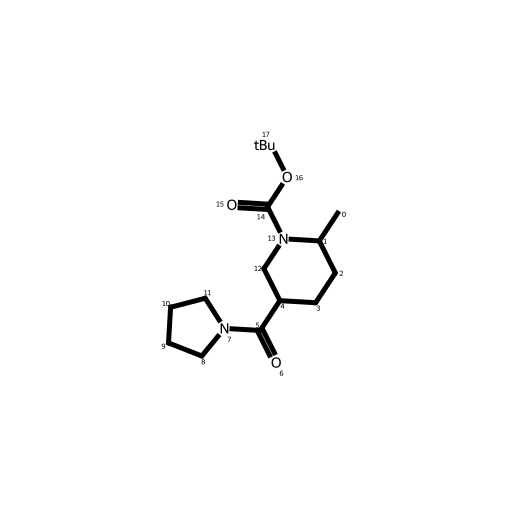 CC1CCC(C(=O)N2CCCC2)CN1C(=O)OC(C)(C)C